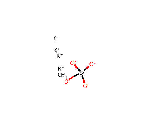 C.[K+].[K+].[K+].[K+].[O-][Si]([O-])([O-])[O-]